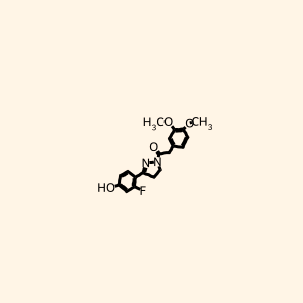 COc1ccc(CC(=O)N2CCC(c3ccc(O)cc3F)=N2)cc1OC